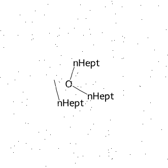 CCCCCCCC.CCCCCCCOCCCCCCC